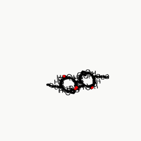 CCCOCCOCCN1CCNC(=O)c2cccc(c2O)C(=O)NCCN(CCN2CCNC(=O)c3cccc(c3O)C(=O)NCCN(CCOCCOCCOC)CCNC(=O)c3cccc(c3O)C(=O)NC(CCCCN)C2)CCNC(=O)c2cccc(c2O)C(=O)NCC1